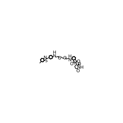 Cc1ccc2nc(-c3ccc(NCCOCCOCCNc4cccc5c4C(=O)N(C4CCC(=O)NC4=O)C5=O)cc3)sc2c1